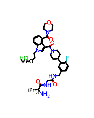 COCCn1cc(C(=O)N2CCC(c3cc(CNC(=O)CNC(=O)[C@@H](N)C(C)C)ccc3F)CC2)c2c(C(=O)N3CCOCC3)cccc21.Cl